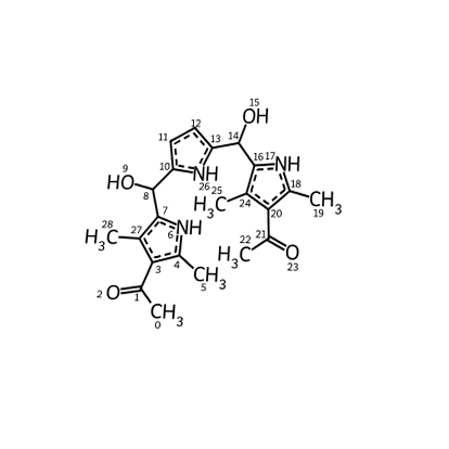 CC(=O)c1c(C)[nH]c(C(O)c2ccc(C(O)c3[nH]c(C)c(C(C)=O)c3C)[nH]2)c1C